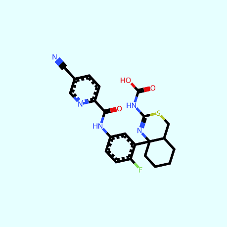 N#Cc1ccc(C(=O)Nc2ccc(F)c(C34CCCCC3CSC(NC(=O)O)=N4)c2)nc1